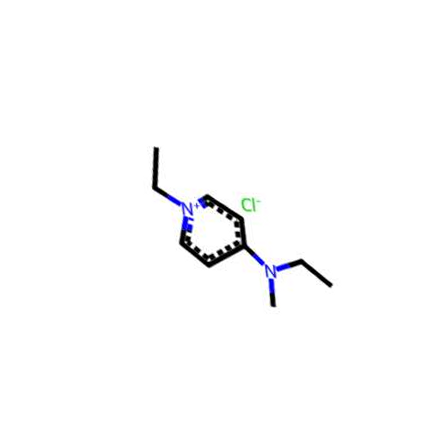 CCN(C)c1cc[n+](CC)cc1.[Cl-]